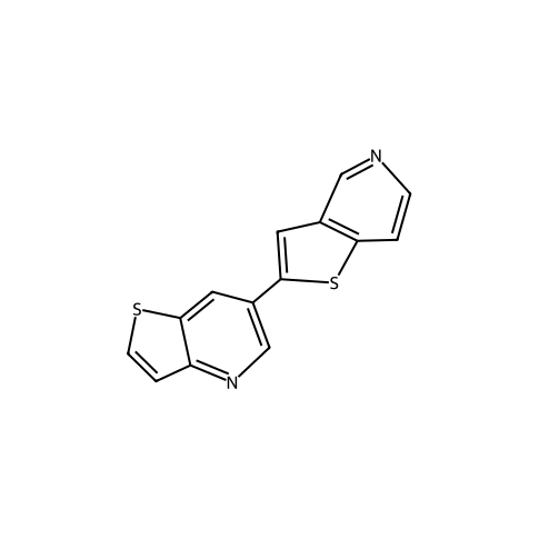 c1cc2sc(-c3cnc4ccsc4c3)cc2cn1